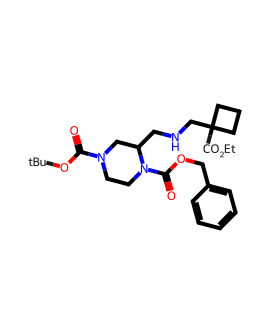 CCOC(=O)C1(CNCC2CN(C(=O)OC(C)(C)C)CCN2C(=O)OCc2ccccc2)CCC1